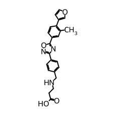 Cc1cc(-c2nc(-c3ccc(CNCCC(=O)O)cc3)no2)ccc1-c1ccoc1